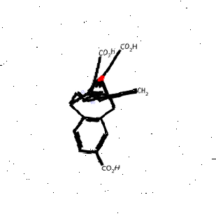 C=C1/C=C(C(=O)O)\C=C/C2c3ccc(C(=O)O)cc3C1c1cc(C(=O)O)ccc12